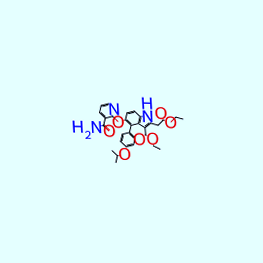 CCOC(=O)Cc1[nH]c2ccc(Oc3ncccc3C(N)=O)c(-c3ccc(OC(C)C)cc3)c2c1C(=O)OCC